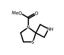 COC(=O)N1CCSC12CNC2